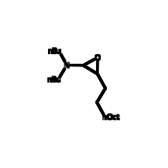 CCCCCCCCCCC1OC1N(CCCC)CCCC